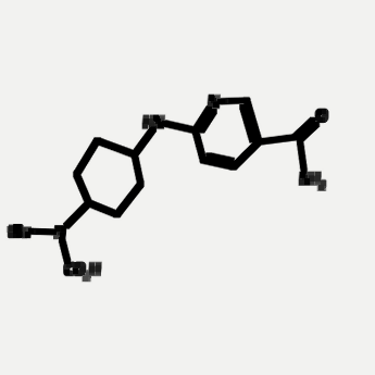 CC(C)(C)N(C(=O)O)C1CCC(Nc2ccc(C(N)=O)cn2)CC1